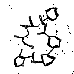 Cc1ccoc1C(=O)Nc1cccc(-c2cncc(C(=O)N=[S@](=O)(CC(=O)N(C)CC(O)CO)c3ccccc3)c2)c1